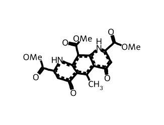 COC(=O)c1cc(=O)c2c(C)c3c(=O)cc(C(=O)OC)[nH]c3c(C(=O)OC)c2[nH]1